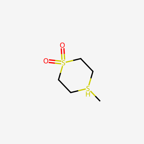 C[SH]1CCS(=O)(=O)CC1